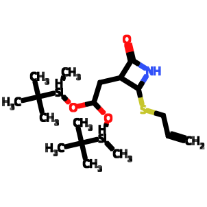 C=CCSC1NC(=O)C1CC(O[SiH](C)C(C)(C)C)O[SiH](C)C(C)(C)C